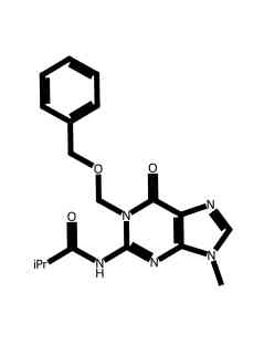 CC(C)C(=O)Nc1nc2c(ncn2C)c(=O)n1COCc1ccccc1